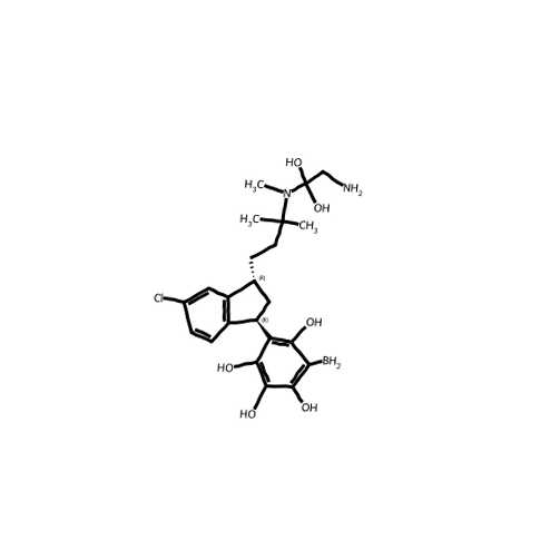 Bc1c(O)c(O)c(O)c([C@@H]2C[C@@H](CCC(C)(C)N(C)C(O)(O)CN)c3cc(Cl)ccc32)c1O